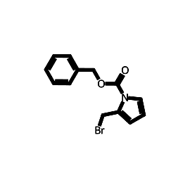 O=C(OCc1ccccc1)n1cccc1CBr